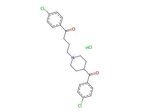 Cl.O=C(CCCN1CCC(C(=O)c2ccc(Cl)cc2)CC1)c1ccc(Cl)cc1